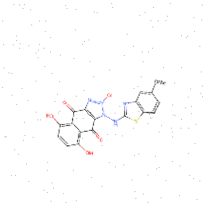 COc1ccc2sc(Nn3c4c(n[n+]3[O-])C(=O)c3c(O)ccc(O)c3C4=O)nc2c1